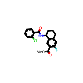 COC(=O)c1cc2c(cc1F)CCCC2NC(=O)c1ccccc1Cl